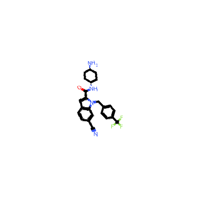 N#Cc1ccc2cc(C(=O)N[C@H]3CC[C@H](N)CC3)n(Cc3ccc(C(F)(F)F)cc3)c2c1